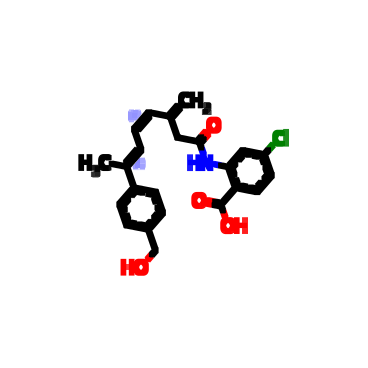 C=C(/C=C\C=C(/C)c1ccc(CO)cc1)CC(=O)Nc1cc(Cl)ccc1C(=O)O